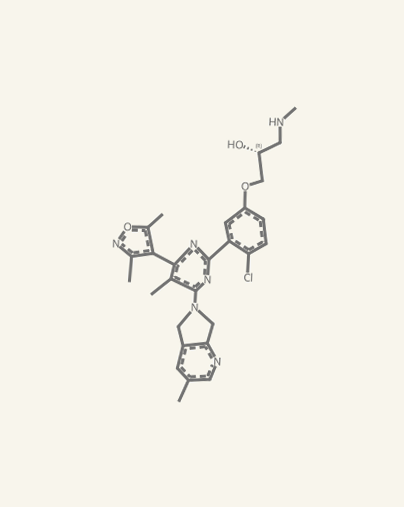 CNC[C@@H](O)COc1ccc(Cl)c(-c2nc(-c3c(C)noc3C)c(C)c(N3Cc4cc(C)cnc4C3)n2)c1